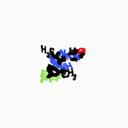 Cc1nnc(N[C@H](C)c2cccc(C(F)(F)F)c2F)c2cc(N3CCN4CCOC[C@@H]4C3)ncc12